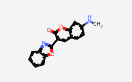 CNc1ccc2cc(-c3nc4ccccc4o3)c(=O)oc2c1